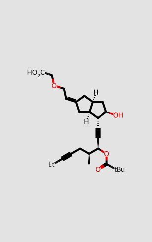 CCC#CC[C@H](C)[C@@H](C#C[C@@H]1[C@H]2C/C(=C/COCC(=O)O)C[C@H]2C[C@H]1O)OC(=O)C(C)(C)C